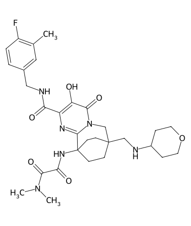 Cc1cc(CNC(=O)c2nc3n(c(=O)c2O)CC2(CNC4CCOCC4)CCC3(NC(=O)C(=O)N(C)C)CC2)ccc1F